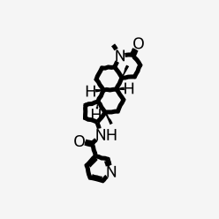 CN1C(=O)CC[C@@]2(C)C1CC[C@@H]1[C@H]2CC[C@]2(C)C(NC(=O)c3cccnc3)CC[C@@H]12